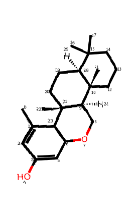 CC1=CC(O)=CC2OC[C@@H]3[C@@]4(C)CCCC(C)(C)[C@@H]4CC[C@@]3(C)C12